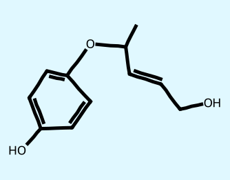 CC(/C=C/CO)Oc1ccc(O)cc1